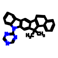 CC1(C)c2cc3c(cc2-c2ccc4ccccc4c21)c1ccccc1n3-c1ncncn1